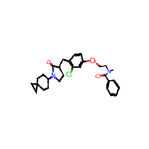 CN(CCOc1ccc(CC2CCN(C3CCC4(CC3)CC4)C2=O)c(Cl)c1)C(=O)c1ccccc1